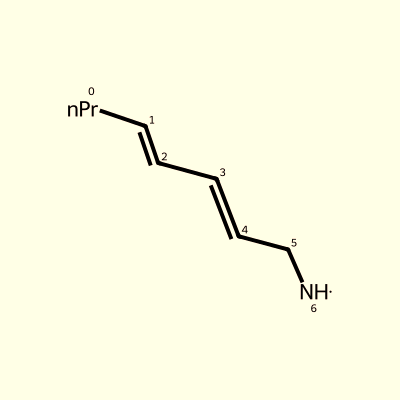 CCCC=CC=CC[NH]